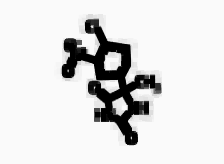 CC1(c2ccc(Cl)c([N+](=O)[O-])c2)NC(=O)NC1=O